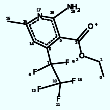 CCOC(=O)c1c(C(F)(F)C(F)(F)F)cc(C)nc1N